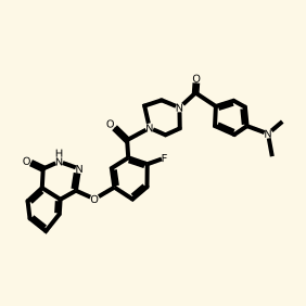 CN(C)c1ccc(C(=O)N2CCN(C(=O)c3cc(Oc4n[nH]c(=O)c5ccccc45)ccc3F)CC2)cc1